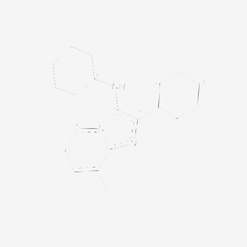 Cc1cccn2c(NC3CCCCC3)c(C3CCCCC3)nc12